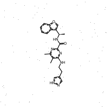 Cc1nc(C(=O)N[C@H](C)c2coc3ccccc23)nc(NCCc2cn[nH]c2)c1C